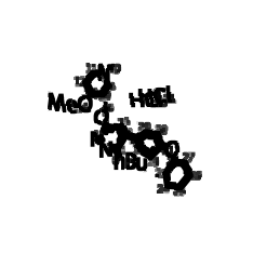 CCCCc1nnc(OC[C@H]2CN(C)CC[C@H]2OC)cc1-c1ccc(OC2CCCCC2)cc1.Cl.Cl